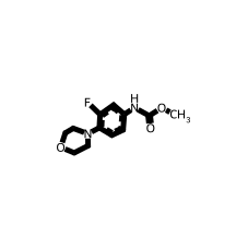 COC(=O)Nc1ccc(N2CCOCC2)c(F)c1